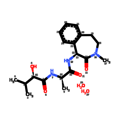 CC(C)[C@H](O)C(=O)N[C@@H](C)C(=O)N[C@@H]1C(=O)N(C)CCc2ccccc21.O.O